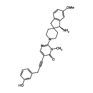 COc1ccc2c(c1)[C@@H](N)C1(CCN(c3ncc(C#CCc4cccc(O)c4)c(=O)n3C)CC1)C2